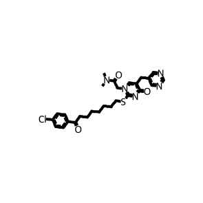 CN(C)C(=O)Cn1cc(Cc2cncnc2)c(=O)nc1SCCCCCCCC(=O)c1ccc(Cl)cc1